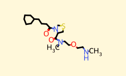 CNCCOCCN(C)C(=O)C1CSCN1C(=O)CCCC1CCCCC1